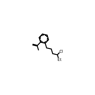 C=C(C)c1ccccc1CCCC(Cl)CC